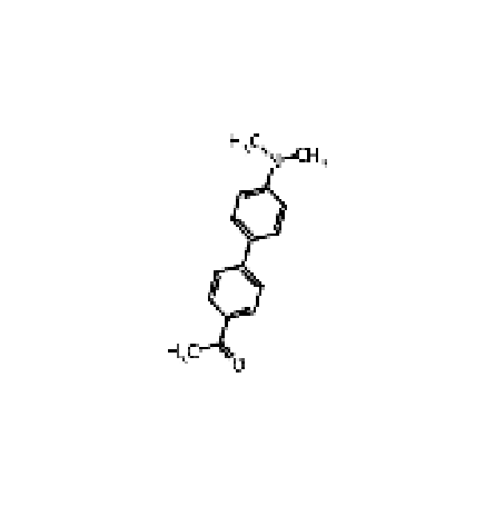 CC(=O)c1ccc(-c2ccc(N(C)C)cc2)cc1